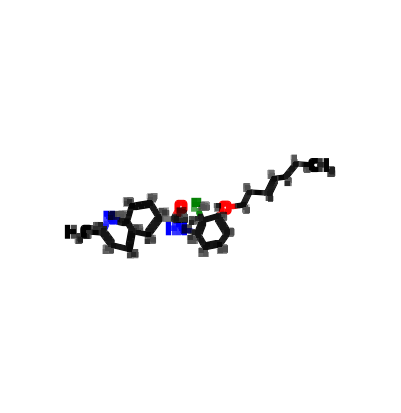 CCCC=CCCOc1cccc(NC(=O)c2ccc3nc(C)ccc3c2)c1F